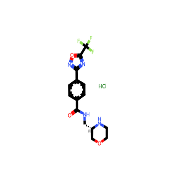 Cl.O=C(NC[C@H]1COCCN1)c1ccc(-c2noc(C(F)(F)F)n2)cc1